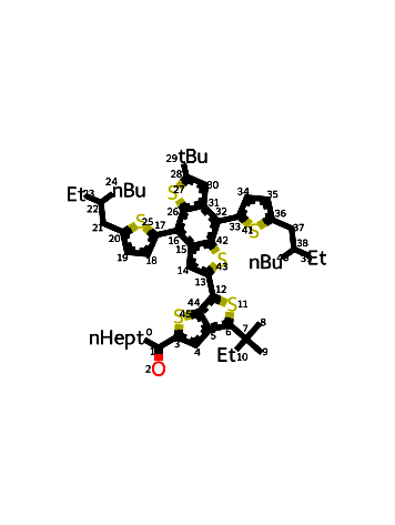 CCCCCCCC(=O)c1cc2c(C(C)(C)CC)sc(-c3cc4c(-c5ccc(CC(CC)CCCC)s5)c5sc(C(C)(C)C)cc5c(-c5ccc(CC(CC)CCCC)s5)c4s3)c2s1